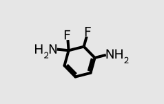 NC1=CC=CC(N)(F)C1F